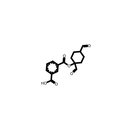 O=CC1CCC(C=O)(OC(=O)c2cccc(C(=O)O)c2)CC1